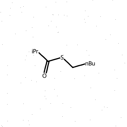 CCCCCSC(=O)C(C)C